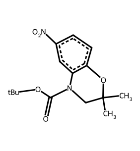 CC(C)(C)OC(=O)N1CC(C)(C)Oc2ccc([N+](=O)[O-])cc21